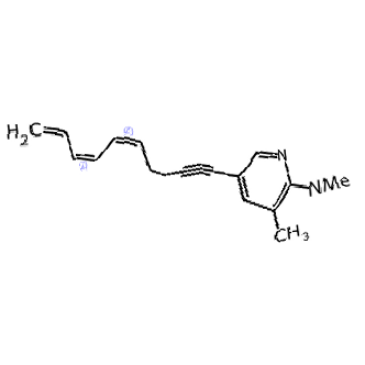 C=C/C=C\C=C/CC#Cc1cnc(NC)c(C)c1